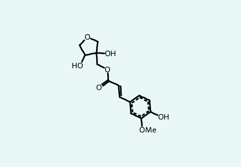 COc1cc(/C=C/C(=O)OCC2(O)COCC2O)ccc1O